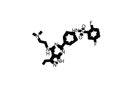 CCc1n[nH]c2nc(-c3ccc(NS(=O)(=O)c4cc(F)ccc4F)cc3)nc(NCCN(C)C)c12